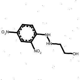 O=[N+]([O-])c1ccc(NNCCO)c([N+](=O)[O-])c1